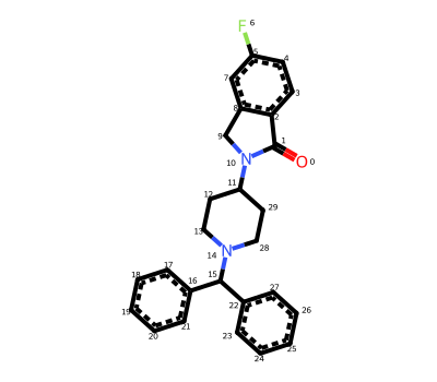 O=C1c2ccc(F)cc2CN1C1CCN(C(c2ccccc2)c2ccccc2)CC1